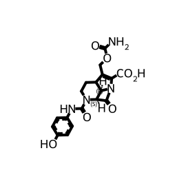 NC(=O)OCC1=C(C(=O)O)N2C(=O)[C@@H]3[C@H]2C1CCN3C(=O)Nc1ccc(O)cc1